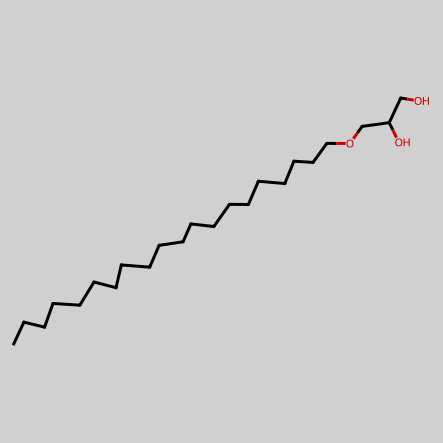 CCCCCCCCCCCCCCCCCCCCOCC(O)CO